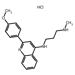 CNCCCNc1cc(-c2ccc(OC)cc2)nc2ccccc12.Cl